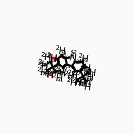 [2H]c1c(C(C([2H])([2H])[2H])(C([2H])([2H])[2H])C([2H])([2H])[2H])c([2H])c2c3c([2H])c(C(C([2H])([2H])[2H])(C([2H])([2H])[2H])C([2H])([2H])[2H])c([2H])c([2H])c3n(C)c2c1[2H]